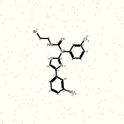 O=C(NCCBr)N(c1cccc(C(F)(F)F)c1)c1nc(-c2cccc([N+](=O)[O-])c2)cs1